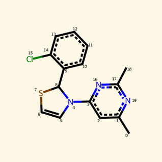 Cc1cc(N2C=CSC2c2ccccc2Cl)nc(C)n1